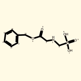 O=C(CNCP(=O)(O)O)OCc1ccccc1